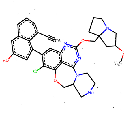 C#Cc1cccc2cc(O)cc(-c3cc4nc(OCC56CCCN5CC(OC)C6)nc5c4c(c3Cl)OCC3CNCCN53)c12